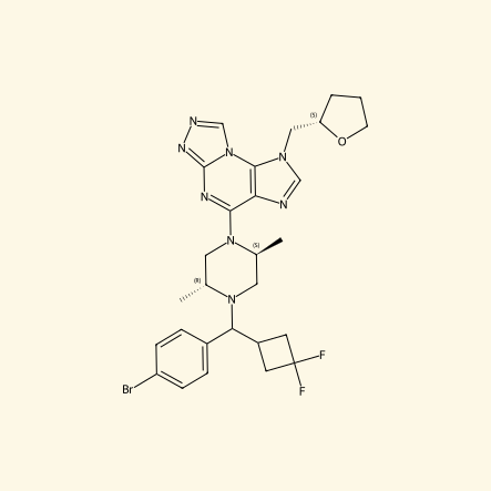 C[C@@H]1CN(c2nc3nncn3c3c2ncn3C[C@@H]2CCCO2)[C@@H](C)CN1C(c1ccc(Br)cc1)C1CC(F)(F)C1